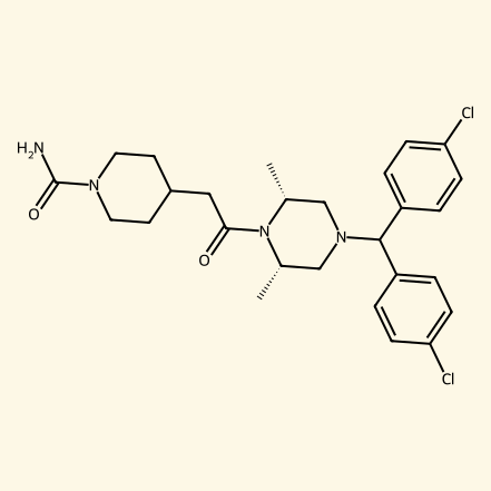 C[C@@H]1CN(C(c2ccc(Cl)cc2)c2ccc(Cl)cc2)C[C@H](C)N1C(=O)CC1CCN(C(N)=O)CC1